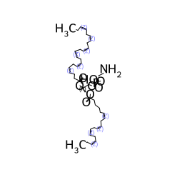 CC/C=C\C/C=C\C/C=C\C/C=C\C/C=C\C/C=C\CCC(=O)O[C@H](COC(=O)CCCC/C=C\C/C=C\C/C=C\C/C=C\CC)COP(=O)(O)OCCN